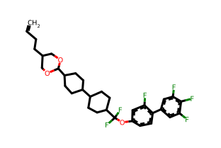 C=CCCC1COC(C2CCC(C3CCC(C(F)(F)Oc4ccc(-c5cc(F)c(F)c(F)c5)c(F)c4)CC3)CC2)OC1